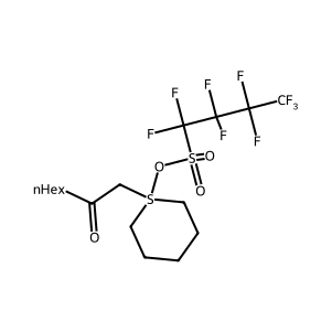 CCCCCCC(=O)CS1(OS(=O)(=O)C(F)(F)C(F)(F)C(F)(F)C(F)(F)F)CCCCC1